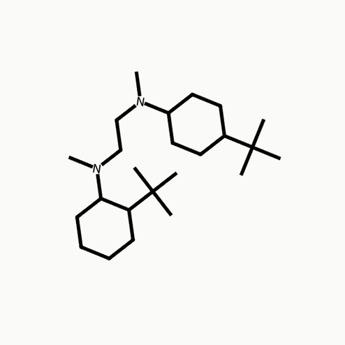 CN(CCN(C)C1CCCCC1C(C)(C)C)C1CCC(C(C)(C)C)CC1